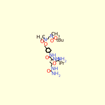 CC(C)C(N)C(=O)N[C@H](CCCNC(N)=O)C(=O)Nc1ccc(COC(=O)N(C)CCN(C)C(=O)OC(C)(C)C)cc1